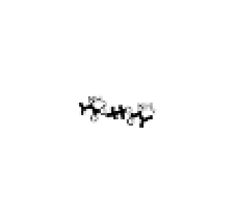 CC(C)C(N)C(=O)OCC(C)(C)C(C)(C)OC(=O)C(N)C(C)C